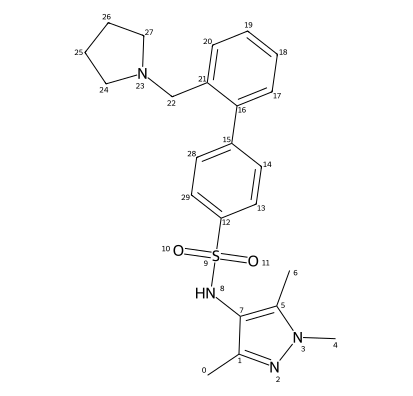 Cc1nn(C)c(C)c1NS(=O)(=O)c1ccc(-c2ccccc2CN2CCCC2)cc1